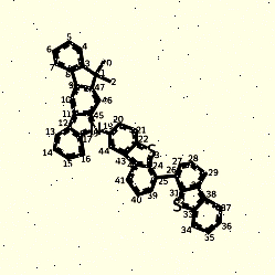 CC1(C)c2ccccc2-c2cc3c4ccccc4n(-c4ccc5sc6c(-c7cccc8c7sc7ccccc78)cccc6c5c4)c3cc21